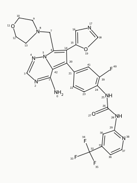 Nc1ncnn2c(CN3CCOCC3)c(-c3cnco3)c(-c3ccc(NC(=O)Nc4cc(C(F)(F)F)ccn4)c(F)c3)c12